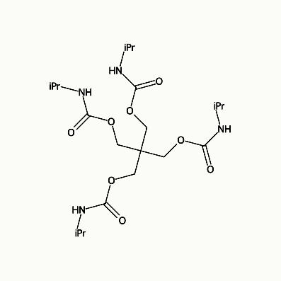 CC(C)NC(=O)OCC(COC(=O)NC(C)C)(COC(=O)NC(C)C)COC(=O)NC(C)C